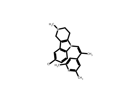 C/C(=C/n1c2c(c3cc(Cl)ccc31)CN(C)CC2)c1cc(C)nc(C)c1